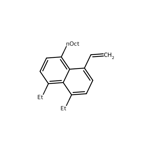 C=Cc1ccc(CC)c2c(CC)ccc(CCCCCCCC)c12